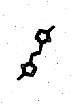 Cc1ccc(C=Cc2ccc(C)o2)o1